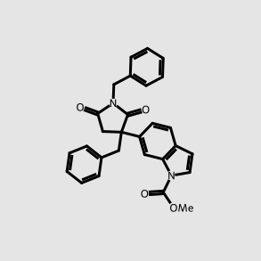 COC(=O)n1ccc2ccc(C3(Cc4ccccc4)CC(=O)N(Cc4ccccc4)C3=O)cc21